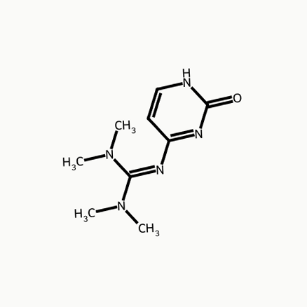 CN(C)C(=Nc1cc[nH]c(=O)n1)N(C)C